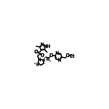 CCOCc1cnc(O[C@H](C)C[C@@H]2CC[C@H](C)N2CS(=O)(=O)c2c(C)n[nH]c2C)cn1